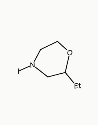 CCC1CN(I)CCO1